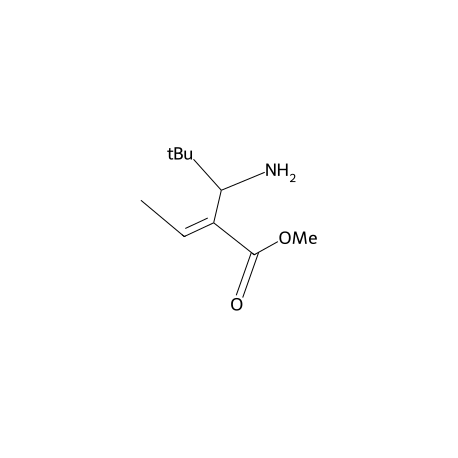 CC=C(C(=O)OC)C(N)C(C)(C)C